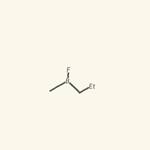 CCCB(C)F